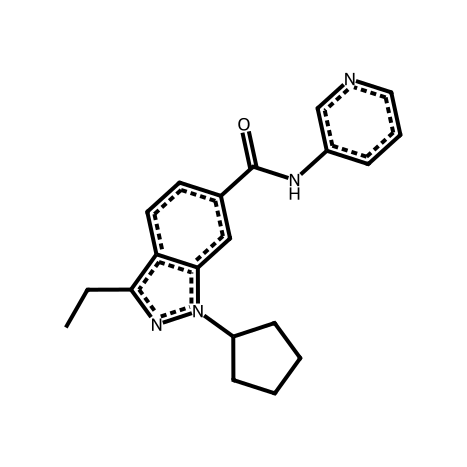 CCc1nn(C2CCCC2)c2cc(C(=O)Nc3cccnc3)ccc12